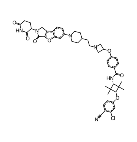 CC1(C)[C@H](NC(=O)c2ccc(OC3CN(CCC4CCN(c5ccc6c7c(oc6c5)C(=O)N(C5CCC(=O)NC5=O)C7)CC4)C3)cc2)C(C)(C)[C@H]1Oc1ccc(C#N)c(Cl)c1